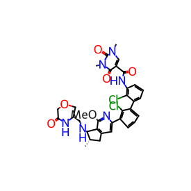 COc1nc(-c2cccc(-c3cccc(NC(=O)c4cn(C)c(=O)n(C)c4=O)c3Cl)c2Cl)cc2c1[C@@H](NC[C@@H]1COCC(=O)N1)[C@@H](C)C2